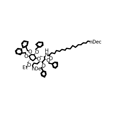 CCCCCCCCCCCCCCCCCCCCCCCCCC(=O)N[C@@H](CO[C@H]1C[C@H](COCC)[C@H](OCc2ccccc2)[C@H](OCc2ccccc2)[C@H]1OCc1ccccc1)[C@H](OCc1ccccc1)[C@@H](CCCCCCCCCCCCCC)OCc1ccccc1